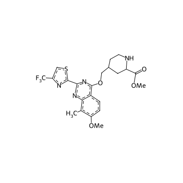 COC(=O)C1CC(COc2nc(-c3nc(C(F)(F)F)cs3)nc3c(C)c(OC)ccc23)CCN1